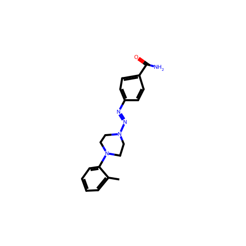 Cc1ccccc1N1CCN(/N=N/c2ccc(C(N)=O)cc2)CC1